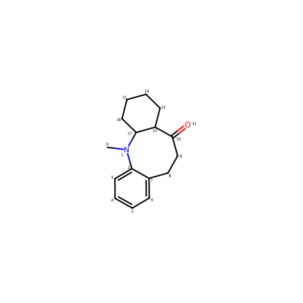 CN1c2ccccc2CCC(=O)C2CCCCC21